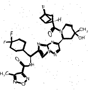 Cc1nonc1C(=O)N[C@H](c1cn2ncc([C@@H]3C[C@@](C)(O)CCN3C(=O)[C@@H]3CC4(F)CC3C4)nc2n1)C1CCC(F)(F)CC1